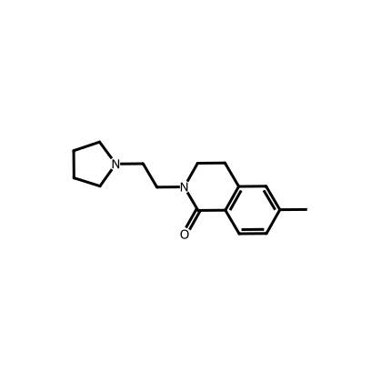 Cc1ccc2c(c1)CCN(CCN1CCCC1)C2=O